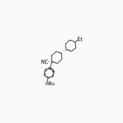 CCCCc1ccc([C@]2(C#N)CC[C@@H](C3CCC(CC)CC3)CC2)cc1